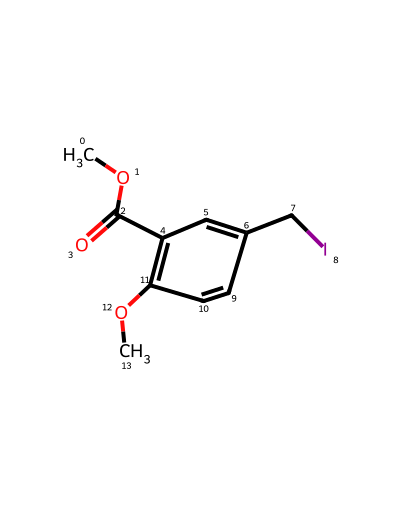 COC(=O)c1cc(CI)ccc1OC